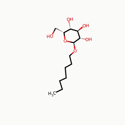 CCCCCCCO[C@H]1O[C@H](CO)[C@H](O)[C@@H](O)[C@@H]1O